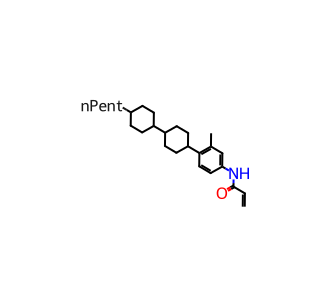 C=CC(=O)Nc1ccc(C2CCC(C3CCC(CCCCC)CC3)CC2)c(C)c1